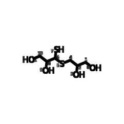 OCC(O)CSC(S)C(O)CO